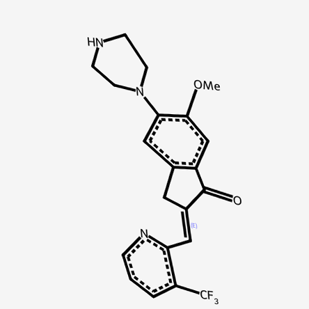 COc1cc2c(cc1N1CCNCC1)C/C(=C\c1ncccc1C(F)(F)F)C2=O